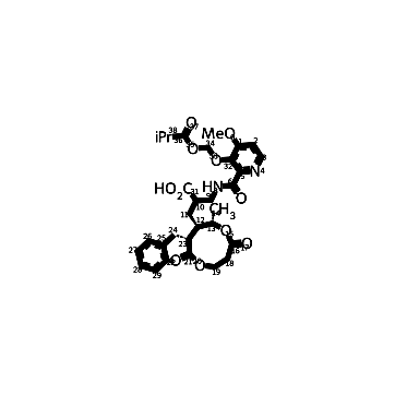 COc1ccnc(C(=O)NCC(C[C@H]2[C@H](C)OC(=O)CCOC(=O)[C@@H]2Cc2ccccc2)C(=O)O)c1OCOC(=O)C(C)C